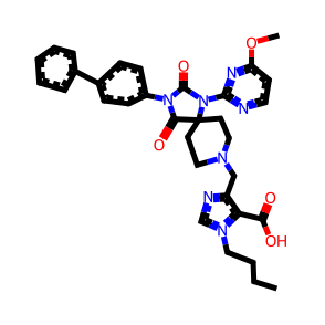 CCCCn1cnc(CN2CCC3(CC2)C(=O)N(c2ccc(-c4ccccc4)cc2)C(=O)N3c2nccc(OC)n2)c1C(=O)O